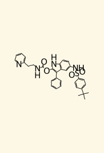 CC(C)(C)c1ccc(S(=O)(=O)Nc2ccc3[nH]c(OC(=O)NCCc4ccccn4)c(-c4ccccc4)c3c2)cc1